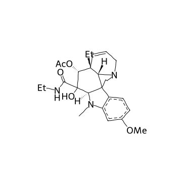 CCNC(=O)C1(O)[C@@H]2N(C)c3cc(OC)ccc3C23CCN2CC=C[C@](CC)([C@H]23)[C@H]1OC(C)=O